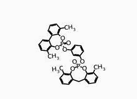 Cc1cccc2c1OP(=O)(Oc1cccc(OP3(=O)Oc4c(C)cccc4-c4cccc(C)c4O3)c1)Oc1c(C)cccc1C2